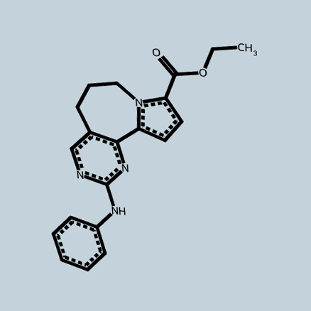 CCOC(=O)c1ccc2n1CCCc1cnc(Nc3ccccc3)nc1-2